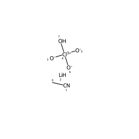 CC#N.[LiH].[O-][Cl+3]([O-])([O-])O